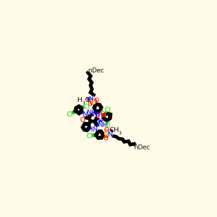 CCCCCCCCCCCCCCCCCCN(C)S(=O)(=O)c1ccc(Cl)c(Nc2[nH]n(-c3cc(Cl)ccc3Cl)c(=O)c2C(c2ccccc2)c2c(Nc3cc(S(=O)(=O)N(C)CCCCCCCCCCCCCCCCCC)ccc3Cl)[nH]n(-c3cc(Cl)ccc3Cl)c2=O)c1